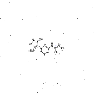 CCCCC1=C(c2cccc(N/C(C)=N/O)c2)C(=O)CC1